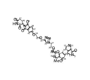 COc1cc(-c2cn(C)c(=O)c3cnccc23)cc(OC)c1CN(C)CCOCCn1cc(COCCOc2ccc3c(c2)C(=O)N(C2CCC(=O)NC2=O)C3=O)nn1